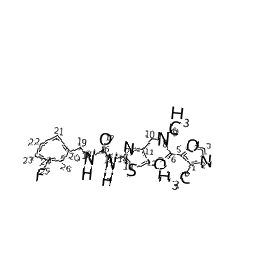 Cc1ncoc1C(=O)N(C)Cc1csc(NC(=O)NCc2cccc(F)c2)n1